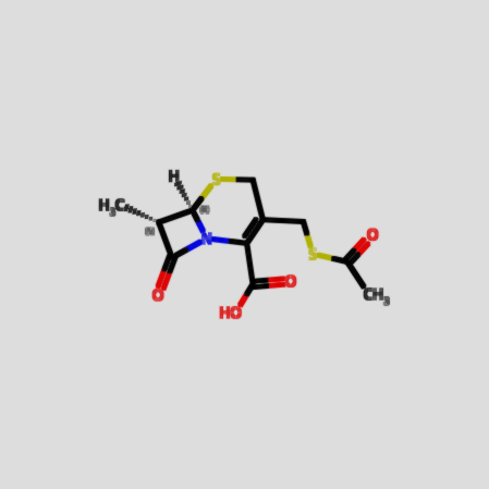 CC(=O)SCC1=C(C(=O)O)N2C(=O)[C@H](C)[C@H]2SC1